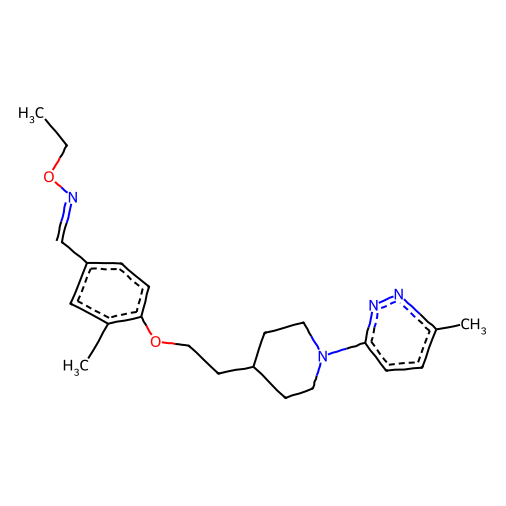 CCON=Cc1ccc(OCCC2CCN(c3ccc(C)nn3)CC2)c(C)c1